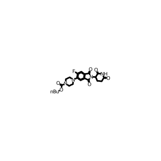 CCCCOC(=O)N1CCN(c2cc3c(cc2F)C(=O)N(C2CCC(=O)NC2=O)C3=O)CC1